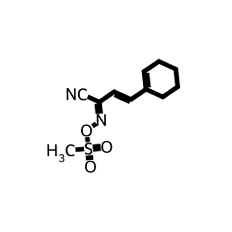 CS(=O)(=O)ON=C(C#N)C=CC1=CCCCC1